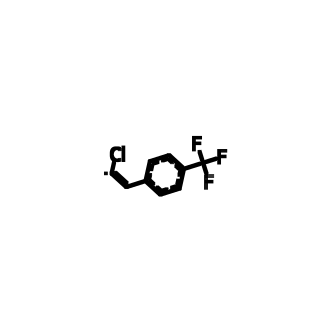 FC(F)(F)c1ccc(/C=[C]\Cl)cc1